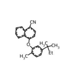 CCC(C)(C)c1ccc(C)c(Oc2ccc(C#N)c3ccccc23)c1